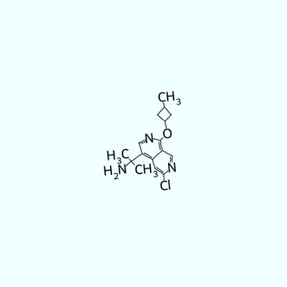 CC1CC(Oc2ncc(C(C)(C)N)c3cc(Cl)ncc23)C1